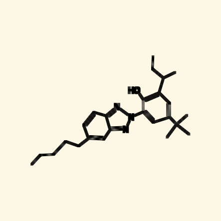 CCCCCc1ccc2nn(-c3cc(C(C)(C)C)cc(C(C)CC)c3O)nc2c1